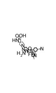 Cc1ccn(-c2cc(C#N)ccc2[C@@H](Oc2cc(N3CCC4(CC3)CN[C@H](C(=O)O)C4)nc(N)n2)C(F)(F)F)n1